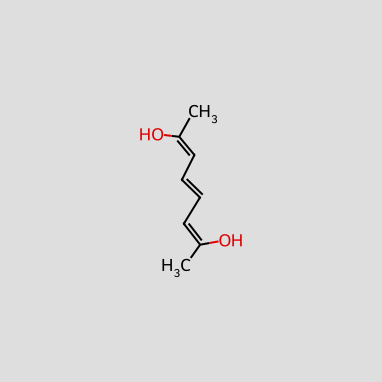 C/C(O)=C/C=C/C=C(/C)O